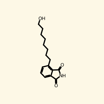 O=C1NC(=O)c2c(CCCCCCCCO)cccc21